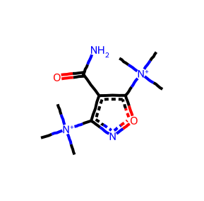 C[N+](C)(C)c1noc([N+](C)(C)C)c1C(N)=O